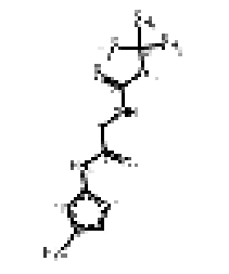 Cc1csc(NC(=O)CNC(=O)OC(C)(C)C)n1